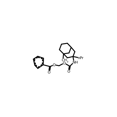 CCCC1(NC(=O)OCOC(=O)c2ccccc2)CC2CCCC(C)(C2)C1